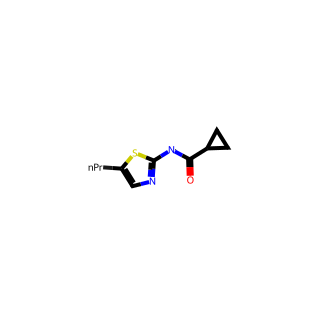 CCCc1cnc([N]C(=O)C2CC2)s1